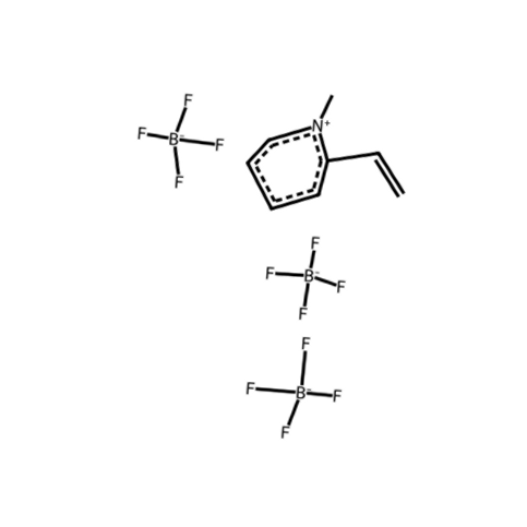 C=Cc1cccc[n+]1C.F[B-](F)(F)F.F[B-](F)(F)F.F[B-](F)(F)F